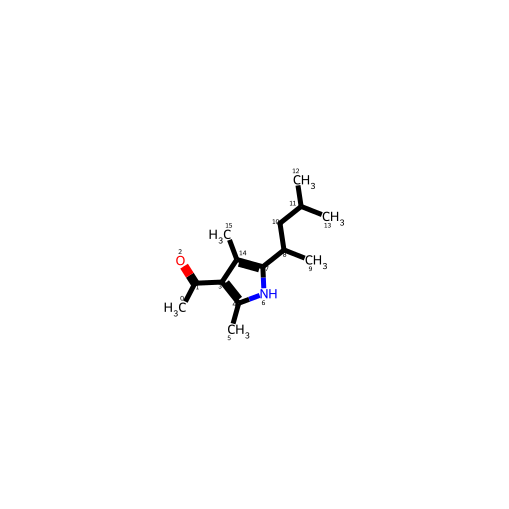 CC(=O)c1c(C)[nH]c(C(C)CC(C)C)c1C